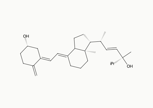 C=C1CC[C@H](O)CC1=CC=C1CCC[C@@]2(C)C1CC[C@@H]2[C@H](C)C=C[C@@](C)(O)C(C)C